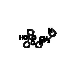 C[N+]1(CCCc2cccnc2)CCCC(OC(=O)[C@](O)(c2ccccc2)C2CCCCC2)C1